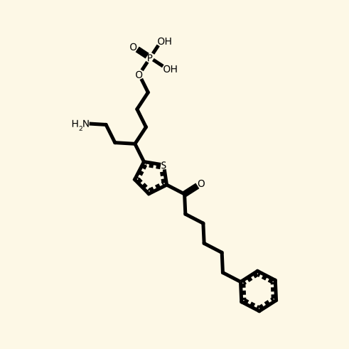 NCCC(CCCOP(=O)(O)O)c1ccc(C(=O)CCCCCc2ccccc2)s1